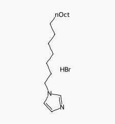 Br.CCCCCCCCCCCCCCCn1ccnc1